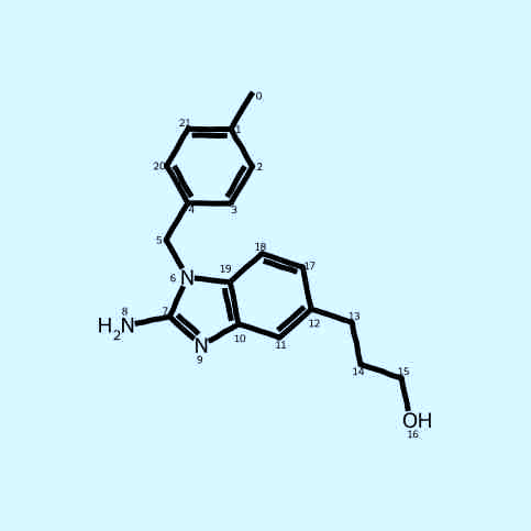 Cc1ccc(Cn2c(N)nc3cc(CCCO)ccc32)cc1